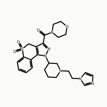 O=C(c1nn(C2CCCN(CCn3ccnc3)C2)c2c1CS(=O)(=O)c1ccccc1-2)N1CCOCC1